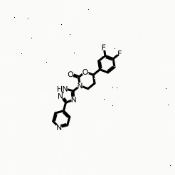 O=C1OC(c2ccc(F)c(F)c2)CCN1c1nc(-c2ccncc2)n[nH]1